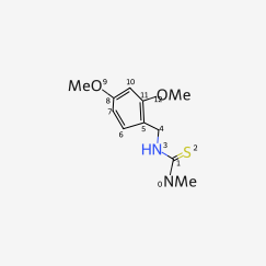 CNC(=S)NCc1ccc(OC)cc1OC